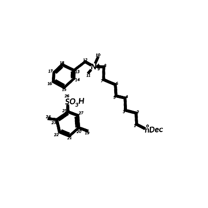 CCCCCCCCCCCCCCCCCC[N+](C)(C)Cc1ccccc1.Cc1ccc(C)c(S(=O)(=O)O)c1